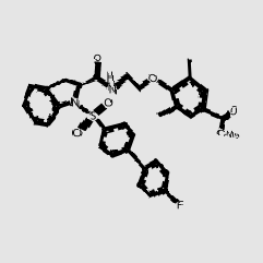 COC(=O)c1cc(C)c(OCCNC(=O)[C@@H]2Cc3ccccc3N2S(=O)(=O)c2ccc(-c3ccc(F)cc3)cc2)c(C)c1